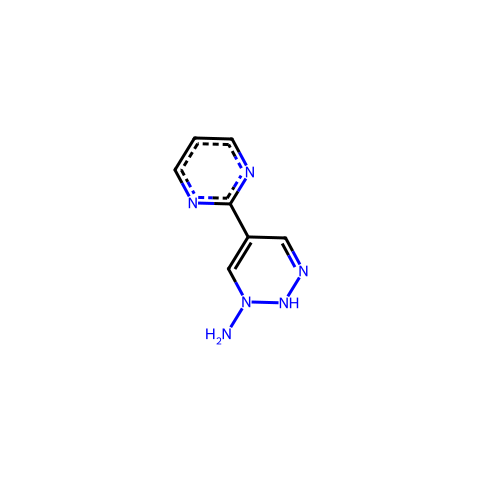 NN1C=C(c2ncccn2)C=NN1